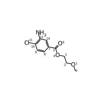 COCCOC(=O)c1ccc(Cl)c(N)c1